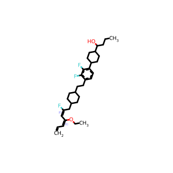 C=C/C=C(\C=C(\F)CC1CCC(CCc2ccc(C3CCC(C(O)CCC)CC3)c(F)c2F)CC1)OCC